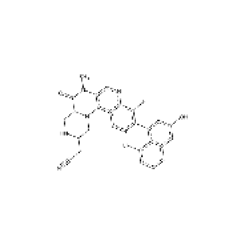 CN1C(=O)C2CNC(CC#N)CN2c2c1cnc1c(F)c(-c3cc(O)cc4cccc(Cl)c34)ncc21